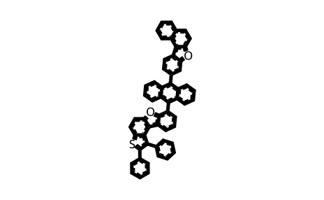 c1ccc(-c2sc3ccc4oc5c(-c6c7ccccc7c(-c7ccc8c(c7)oc7ccc9ccccc9c78)c7ccccc67)cccc5c4c3c2-c2ccccc2)cc1